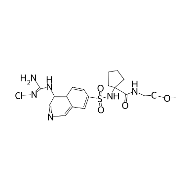 COCCNC(=O)C1(NS(=O)(=O)c2ccc3c(NC(N)=NCl)cncc3c2)CCCC1